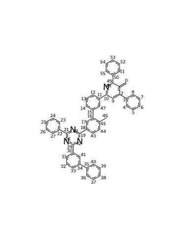 C=C1C(c2ccccc2)=CC(c2cccc(-c3cc(-c4nc(-c5ccccc5)nc(-c5cccc(-c6ccccc6)c5)n4)ccc3C)c2)=NC1c1ccccc1